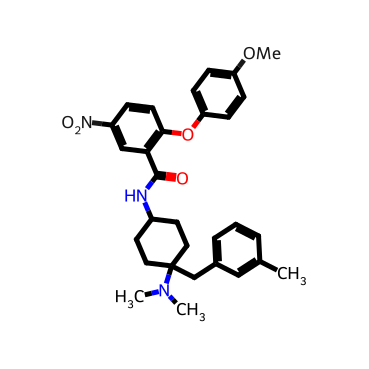 COc1ccc(Oc2ccc([N+](=O)[O-])cc2C(=O)NC2CCC(Cc3cccc(C)c3)(N(C)C)CC2)cc1